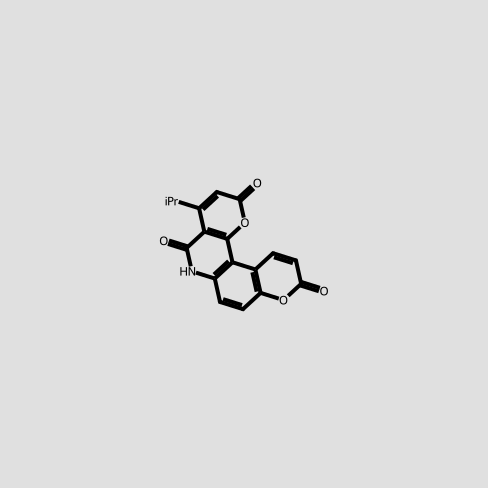 CC(C)c1cc(=O)oc2c1c(=O)[nH]c1ccc3oc(=O)ccc3c12